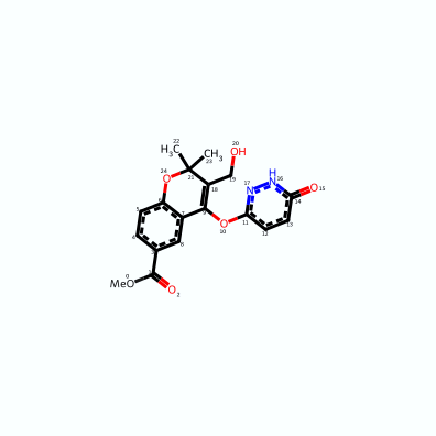 COC(=O)c1ccc2c(c1)C(Oc1ccc(=O)[nH]n1)=C(CO)C(C)(C)O2